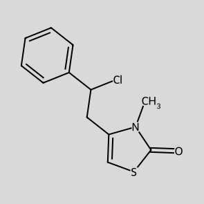 Cn1c(CC(Cl)c2ccccc2)csc1=O